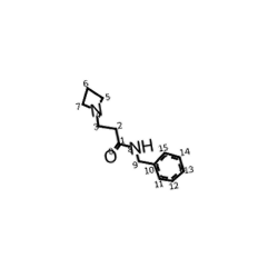 O=C(CCN1CCC1)NCc1ccccc1